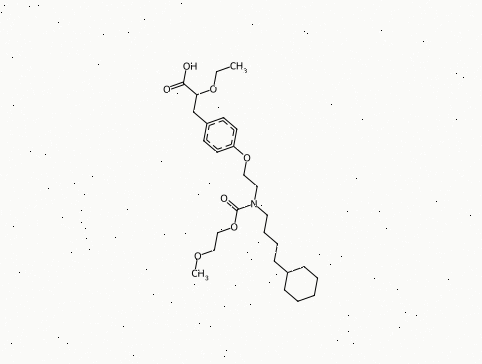 CCOC(Cc1ccc(OCCN(CCCCC2CCCCC2)C(=O)OCCOC)cc1)C(=O)O